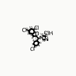 Cl.Clc1ccc(C(c2cc3cc(Cl)cc(Cl)c3o2)n2ccnc2)cc1